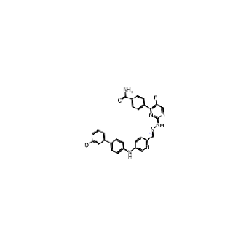 NC(=O)c1ccc(-c2nc(N/N=C/c3ccc(Nc4ccc(-c5cccc(O)c5)cc4)cn3)ncc2F)cc1